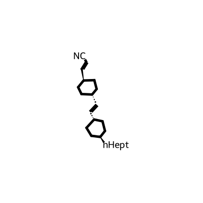 CCCCCCC[C@H]1CC[C@H](C=C[C@H]2CC[C@H](C=CC#N)CC2)CC1